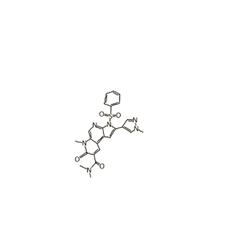 CN(C)C(=O)c1cc2c3cc(-c4cnn(C)c4)n(S(=O)(=O)c4ccccc4)c3ncc2n(C)c1=O